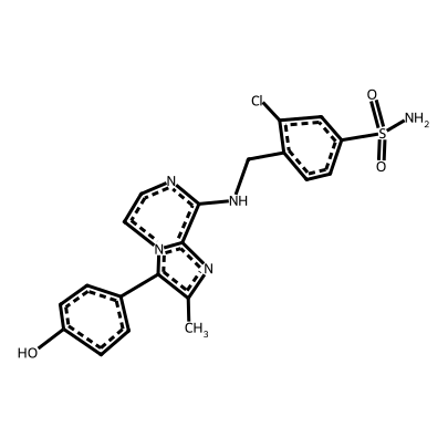 Cc1nc2c(NCc3ccc(S(N)(=O)=O)cc3Cl)nccn2c1-c1ccc(O)cc1